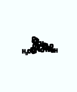 Cc1ccc([C@H]2COc3cc(C(=O)NO)ccc3CN2C(=O)C2(C)CCOCC2)cc1